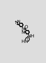 Cn1cc2cc(-n3cnc4cc(NN5CCNCC5)ccc4c3=O)ccc2n1